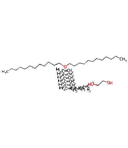 C=C.C=C.C=C.C=C.C=C.C=C.C=C.C=C.CCCCCCCCCCCCOCCCCCCCCCCCC.OCCO